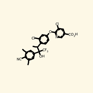 Cc1cc(C(O)(C(C)c2ccc(Oc3ncc(C(=O)O)cc3Cl)cc2Cl)C(F)(F)F)cc(C)c1C#N